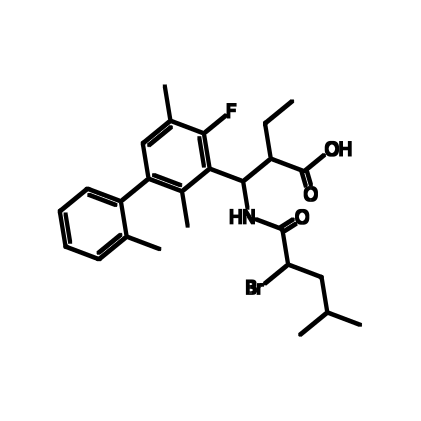 CCC(C(=O)O)C(NC(=O)C(Br)CC(C)C)c1c(C)c(-c2ccccc2C)cc(C)c1F